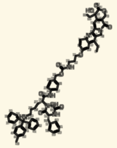 CCc1c2c(nc3ccc(OCCCNC(=O)OCc4ccc(NC(=O)[C@H](CCCCNC(c5ccccc5)(c5ccccc5)c5ccc(C)cc5)NC(=O)[C@H](Cc5ccccc5)NC(=O)O)cc4)cc13)-c1cc3c(c(=O)n1C2)COC(=O)[C@]3(O)CC